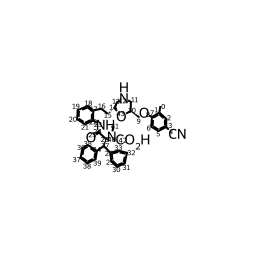 Cc1cc(C#N)ccc1OC[C@@H]1CNC[C@@H](CCc2ccccc2NC(=O)[C@H](C(c2ccccc2)c2ccccc2)N(C)C(=O)O)O1